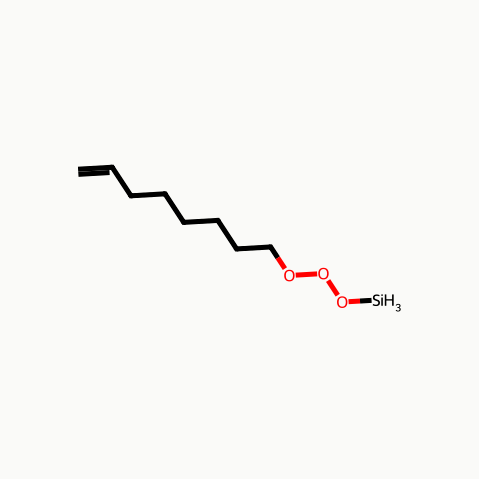 C=CCCCCCCOOO[SiH3]